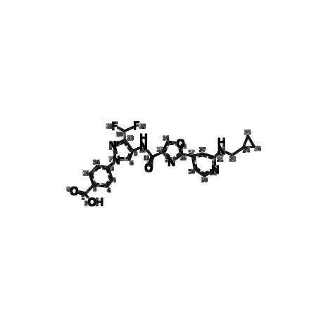 O=C(O)c1ccc(-n2cc(NC(=O)c3coc(-c4ccnc(NCC5CC5)c4)n3)c(C(F)F)n2)cc1